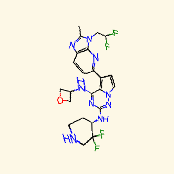 Cc1nc2ccc(-c3ccn4nc(N[C@@H]5CCNCC5(F)F)nc(NC5COC5)c34)nc2n1CC(F)F